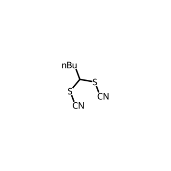 CCCCC(SC#N)SC#N